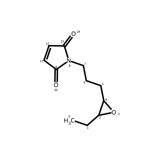 CCC1OC1CCCN1C(=O)C=CC1=O